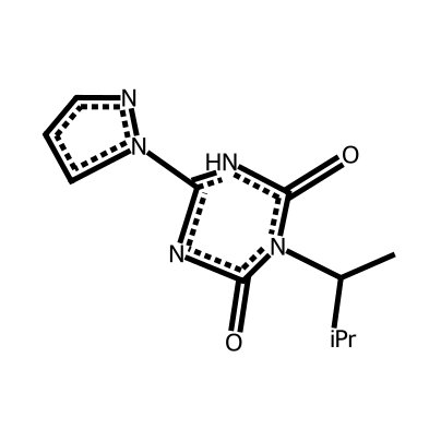 CC(C)C(C)n1c(=O)nc(-n2cccn2)[nH]c1=O